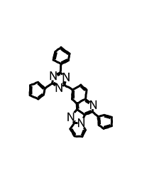 c1ccc(-c2nc(-c3ccccc3)nc(-c3ccc4nc(-c5ccccc5)c5c(nc6ccccn65)c4c3)n2)cc1